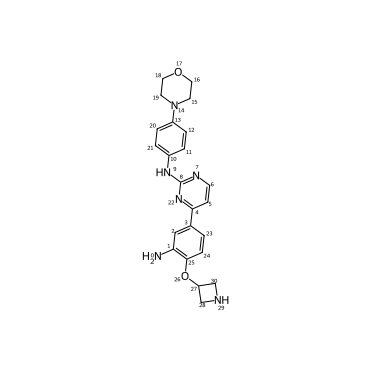 Nc1cc(-c2ccnc(Nc3ccc(N4CCOCC4)cc3)n2)ccc1OC1CNC1